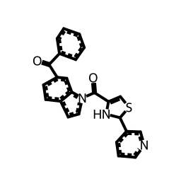 O=C(c1ccccc1)c1ccc2ccn(C(=O)C3=CSC(c4cccnc4)N3)c2c1